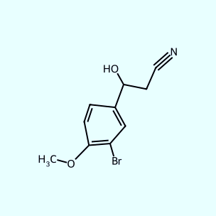 COc1ccc(C(O)CC#N)cc1Br